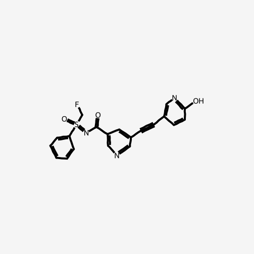 O=C(N=S(=O)(CF)c1ccccc1)c1cncc(C#Cc2ccc(O)nc2)c1